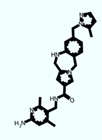 Cc1cc(N)nc(C)c1CNC(=O)c1cc2n(c1)Cc1ccc(Cn3nccc3C)cc1NC2